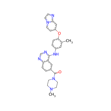 Cc1cc(Nc2ncnc3ccc(C(=O)N4CCN(C)CC4)cc23)ccc1Oc1ccn2ccnc2c1